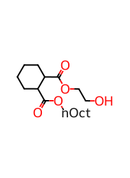 CCCCCCCCOC(=O)C1CCCCC1C(=O)OCCO